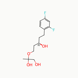 CC(O)(CO)OCC[C@H](O)CCc1ccc(F)cc1F